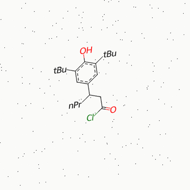 CCCC(CC(=O)Cl)c1cc(C(C)(C)C)c(O)c(C(C)(C)C)c1